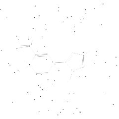 CCC(=O)C1=CN(c2cc(C)cn2C)CCC1(C)C